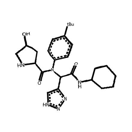 CC(C)(C)c1ccc(N(C(=O)C2CC(O)CN2)C(C(=O)NC2CCCCC2)c2c[nH]nn2)cc1